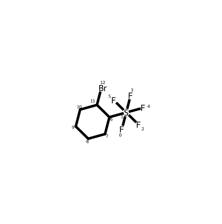 FS(F)(F)(F)(F)C1CCCCC1Br